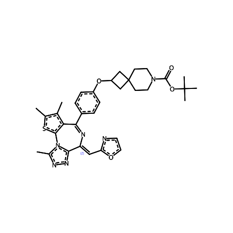 Cc1sc2c(c1C)C(c1ccc(OC3CC4(CCN(C(=O)OC(C)(C)C)CC4)C3)cc1)=N/C(=C\c1ncco1)c1nnc(C)n1-2